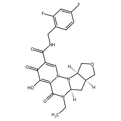 CCN1C(=O)c2c(O)c(=O)c(C(=O)NCc3ccc(F)cc3F)cn2N2[C@H]3COC[C@H]3C[C@@H]12